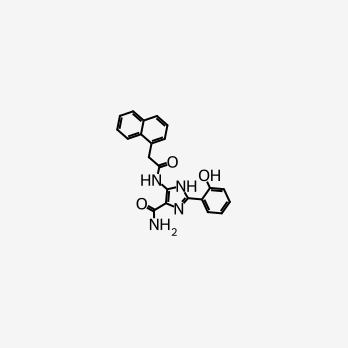 NC(=O)c1nc(-c2ccccc2O)[nH]c1NC(=O)Cc1cccc2ccccc12